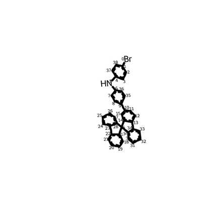 Brc1ccc(Nc2ccc(-c3ccc4c(c3)C3(c5ccccc5-c5ccccc53)c3ccccc3-4)cc2)cc1